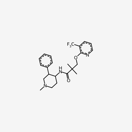 CN1CCC(NC(=O)C(C)(C)COc2ncccc2C(F)(F)F)C(c2ccccc2)C1